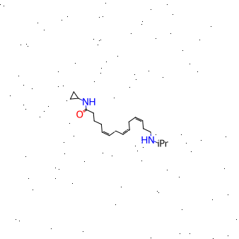 CC(C)NCC/C=C\C/C=C\C/C=C\CCCC(=O)NC1CC1